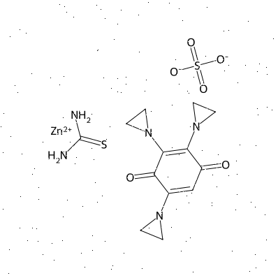 NC(N)=S.O=C1C=C(N2CC2)C(=O)C(N2CC2)=C1N1CC1.O=S(=O)([O-])[O-].[Zn+2]